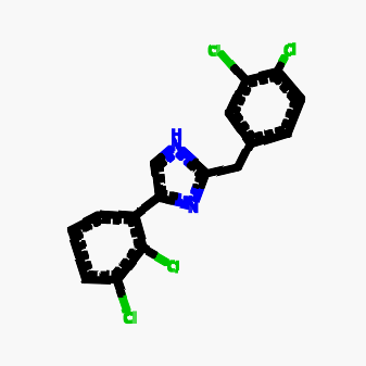 Clc1ccc(Cc2nc(-c3cccc(Cl)c3Cl)c[nH]2)cc1Cl